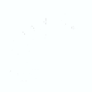 CC(C)(C)OC(=O)CCNC(=O)Nc1nc2ccc(-c3cccc(S(C)(=O)=O)c3)cc2s1